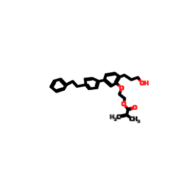 C=C(C)C(=O)OCCOc1cc(-c2ccc(CCc3ccccc3)cc2)ccc1CCCO